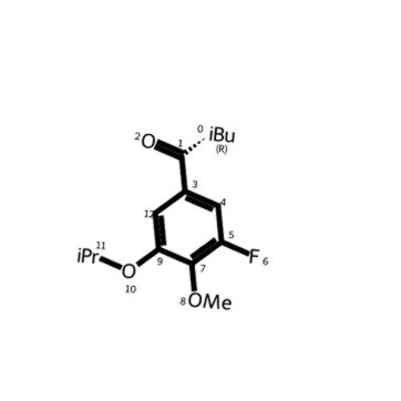 CC[C@@H](C)C(=O)c1cc(F)c(OC)c(OC(C)C)c1